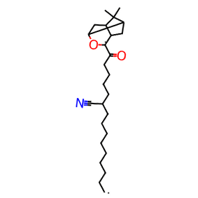 [CH2]CCCCCCCCC(C#N)CCCCC(=O)[C]1OC2CC3C1CC2C3(C)C